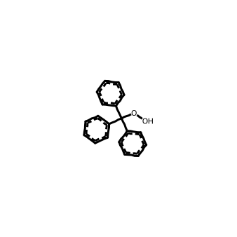 OOC(c1ccccc1)(c1ccccc1)c1ccccc1